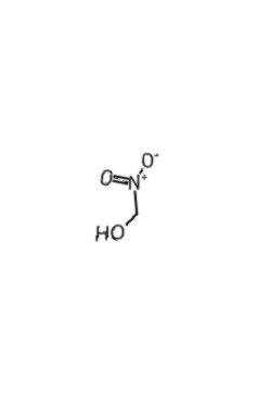 O=[N+]([O-])CO